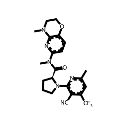 Cc1cc(C(F)(F)F)c(C#N)c(N2CCC[C@H]2C(=O)N(C)c2ccc3c(n2)N(C)CCO3)n1